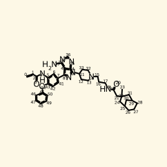 C=CC(=O)Nc1cc(-c2nn(C3CCN(CCCNC(=O)CC4(C)CC5CCCC(C5)C4)CC3)c3ncnc(N)c23)ccc1Oc1ccccc1